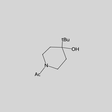 CC(=O)N1CCC(O)(C(C)(C)C)CC1